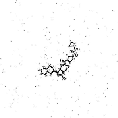 O=S(=O)(NC1CCC1)[C@@H]1CC[C@@H](Nc2ncc3c(Br)nn(-c4ccc5ncccc5c4)c3n2)C1